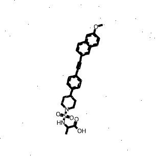 COc1ccc2cc(C#Cc3ccc(C4CCN(S(=O)(=O)NC(C)C(=O)O)CC4)cc3)ccc2c1